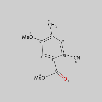 COC(=O)c1cc(OC)c(C)cc1C#N